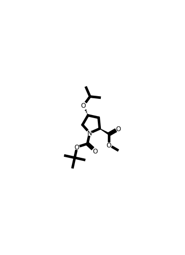 COC(=O)[C@@H]1C[C@@H](OC(C)C)CN1C(=O)OC(C)(C)C